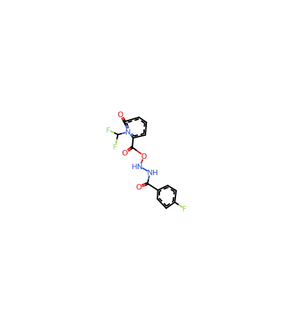 O=C(NNOC(=O)c1cccc(=O)n1C(F)F)c1ccc(F)cc1